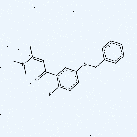 CC(=CC(=O)c1cc(SCc2ccccc2)ccc1F)N(C)C